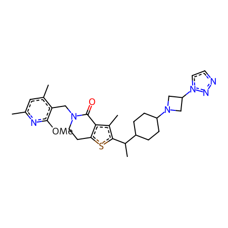 COc1nc(C)cc(C)c1CN1CCc2sc(C(C)C3CCC(N4CC(n5ccnn5)C4)CC3)c(C)c2C1=O